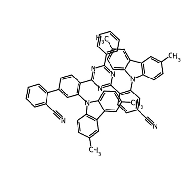 Cc1ccc2c(c1)c1cc(C)ccc1n2-c1cc(C#N)ccc1-c1nc(-c2ccccc2)nc(-c2ccc(-c3ccccc3C#N)cc2-n2c3ccc(C)cc3c3cc(C)ccc32)n1